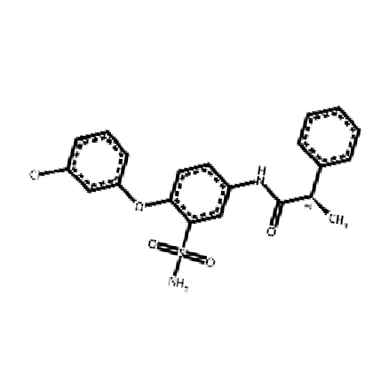 C[C@@H](C(=O)Nc1ccc(Oc2cccc(Cl)c2)c(S(N)(=O)=O)c1)c1ccccc1